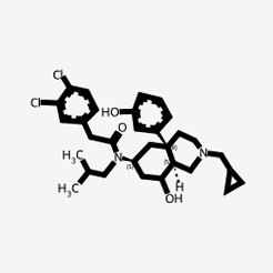 CC(C)CN(C(=O)Cc1ccc(Cl)c(Cl)c1)[C@@H]1CC(O)[C@@H]2CN(CC3CC3)CC[C@@]2(c2cccc(O)c2)C1